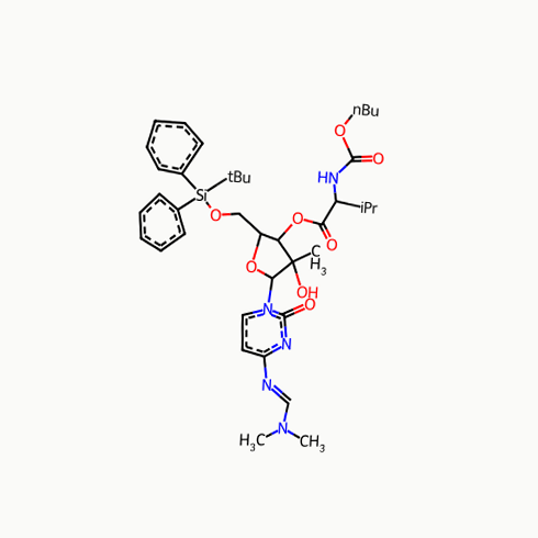 CCCCOC(=O)NC(C(=O)OC1C(CO[Si](c2ccccc2)(c2ccccc2)C(C)(C)C)OC(n2ccc(/N=C/N(C)C)nc2=O)C1(C)O)C(C)C